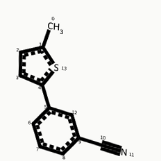 Cc1ccc(-c2cccc(C#N)c2)s1